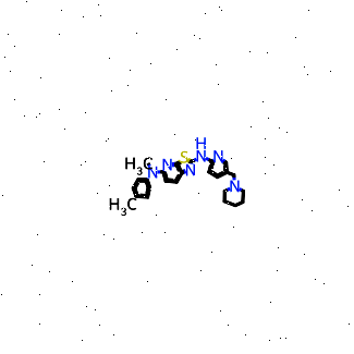 Cc1ccc(N(C)c2ccc3nc(Nc4ccc(CN5CCCCC5)cn4)sc3n2)cc1